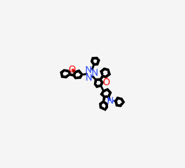 c1ccc(-c2nc(-c3ccc4c(c3)oc3ccccc34)nc(-c3ccc(-c4ccc5c(c4)c4ccccc4n5-c4ccccc4)c4oc5ccccc5c34)n2)cc1